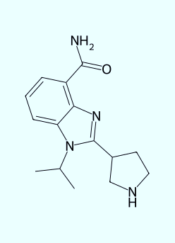 CC(C)n1c(C2CCNC2)nc2c(C(N)=O)cccc21